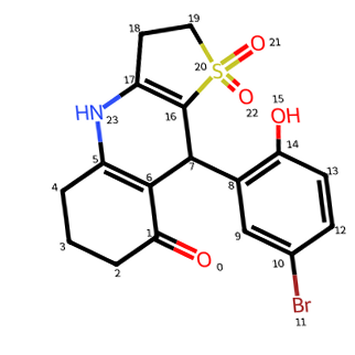 O=C1CCCC2=C1C(c1cc(Br)ccc1O)C1=C(CCS1(=O)=O)N2